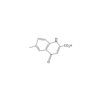 Cc1ccc2[nH]c(C(=O)O)cc(=O)c2c1